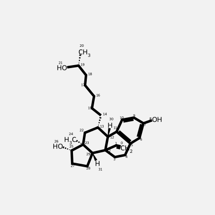 C=CC12CCc3cc(O)ccc3[C@H]1[C@@H](CCCCC[C@@H](C)O)C[C@]1(C)[C@@H](O)CC[C@@H]21